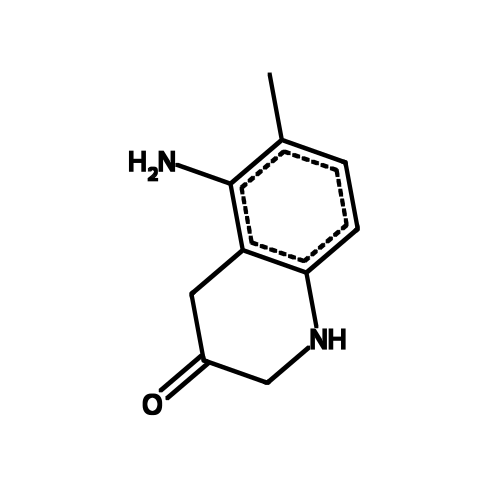 Cc1ccc2c(c1N)CC(=O)CN2